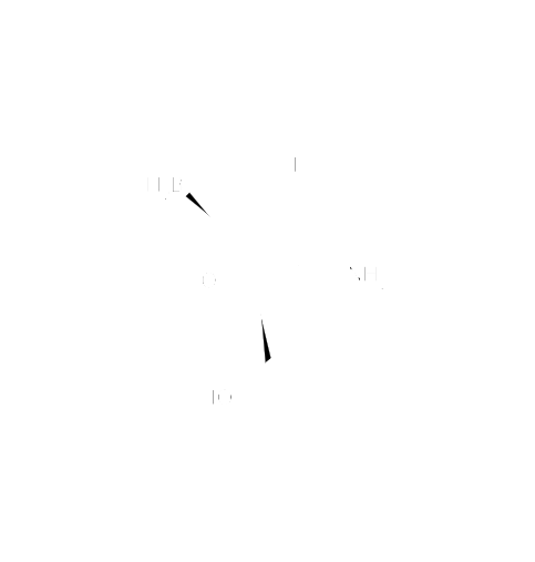 B[C@@H]1O[C@H](CO)[C@@H](N)[C@H]1F